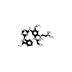 C=CC(=O)Nc1cc(Nc2ncnc(-n3nc(C)c4ccccc43)n2)c(OC)cc1N(C)CCN(C)C